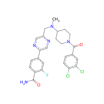 CN(Cc1cnc(-c2ccc(C(N)=O)c(F)c2)cn1)C1CCN(C(=O)c2ccc(Cl)c(Cl)c2)CC1